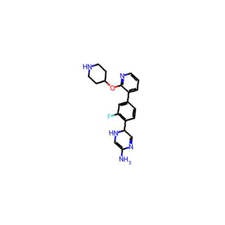 NC1=CNC(c2ccc(-c3cccnc3OC3CCNCC3)cc2F)C=N1